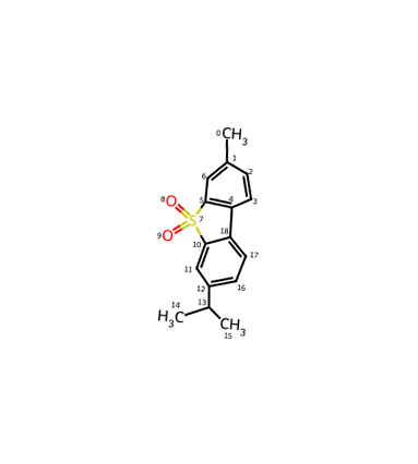 Cc1ccc2c(c1)S(=O)(=O)c1cc(C(C)C)ccc1-2